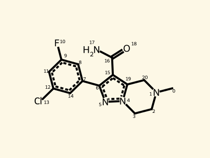 CN1CCn2nc(-c3cc(F)cc(Cl)c3)c(C(N)=O)c2C1